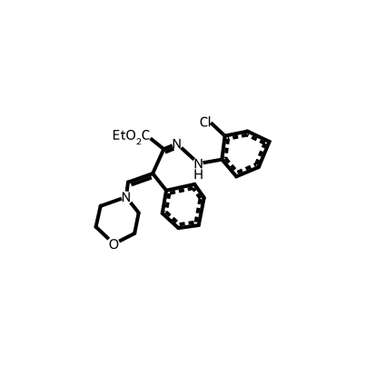 CCOC(=O)C(=NNc1ccccc1Cl)C(=CN1CCOCC1)c1ccccc1